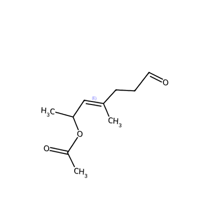 CC(=O)OC(C)/C=C(\C)CCC=O